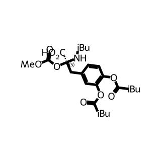 CCC(C)N[C@@](Cc1ccc(OC(=O)C(C)CC)c(OC(=O)C(C)CC)c1)(OC(=O)OC)C(=O)O